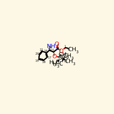 CCOC(=O)[C@H](O[Si](C)(C)C(C)(C)C)[C@H](N)c1ccccc1